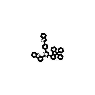 c1ccc(C2(c3ccccc3)c3ccccc3-c3c(-c4cc(-c5ccc(-c6cc7ccccc7o6)cc5)nc(-c5cccc6c5sc5ccccc56)n4)cccc32)cc1